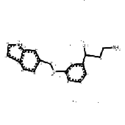 NCCC(O)c1cccc(OCc2ccc3cc[nH]c3c2)c1